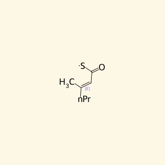 CCC/C(C)=C/C(=O)[S]